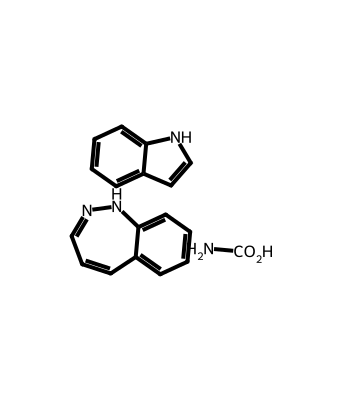 C1=Cc2ccccc2NN=C1.NC(=O)O.c1ccc2[nH]ccc2c1